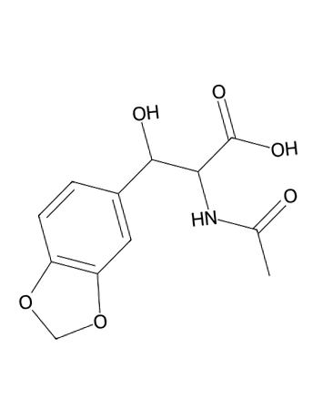 CC(=O)NC(C(=O)O)C(O)c1ccc2c(c1)OCO2